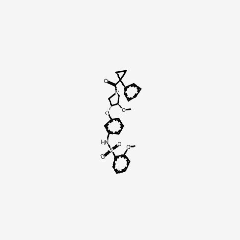 COc1ccccc1S(=O)(=O)Nc1cccc(O[C@@H]2CN(C(=O)C3(c4ccccc4)CC3)C[C@H]2OC)c1